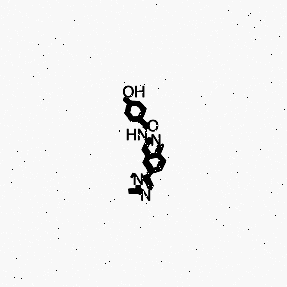 Cc1ncc(-c2ccc3cnc(NC(=O)C4CCC(CO)CC4)cc3c2)n1C